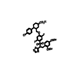 COc1ccc(CN(c2ncns2)S(=O)(=O)c2cc(F)c(OCC3CN(C(=O)O)CCC3c3ccc(Cl)cc3)cc2F)c(OC)c1